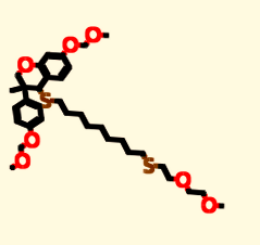 COCCOCCSCCCCCCCCCSC1c2ccc(OCOC)cc2OCC1(C)c1ccc(OCOC)cc1